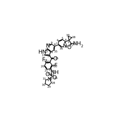 NC(=O)C1(c2ccc(-c3cnc4[nH]cc(C(=O)c5c(F)ccc(NS(=O)(=O)N6CCCC6)c5F)c4c3)cn2)CC1